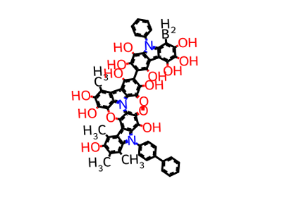 Bc1c(O)c(O)c(O)c2c3c(O)c(-c4c(O)c5ooc6c(O)c7c(c8c6n6c9c(c(O)c(O)c(C)c9c(c4O)c56)O8)c4c(C)c(O)c(C)c(C)c4n7-c4ccc(-c5ccccc5)cc4)c(O)c(O)c3n(-c3ccccc3)c12